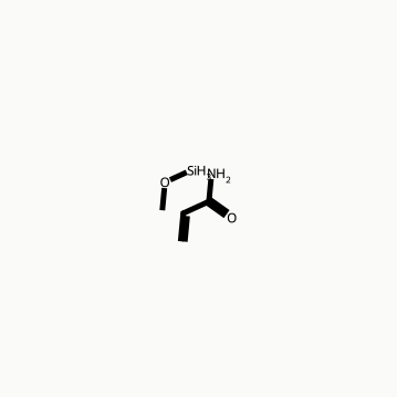 C=CC(N)=O.CO[SiH3]